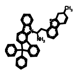 CC1C=Cc2c(sc3c(C[C@@H](N)n4c5ccccc5c5ccc6c(c54)-c4ccccc4C6(c4ccccc4)c4ccccc4)cccc23)C1